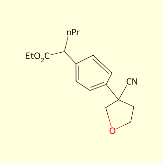 CCCC(C(=O)OCC)c1ccc(C2(C#N)CCOC2)cc1